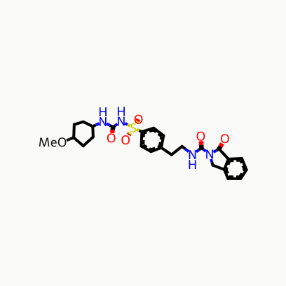 COC1CCC(NC(=O)NS(=O)(=O)c2ccc(CCNC(=O)N3Cc4ccccc4C3=O)cc2)CC1